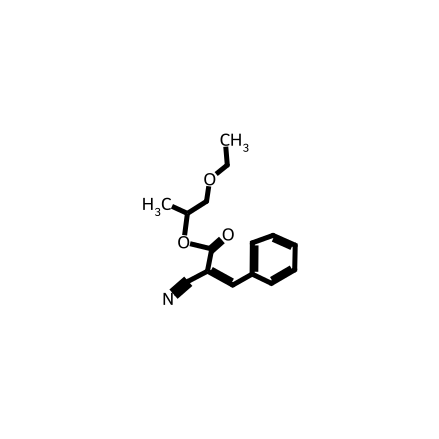 CCOCC(C)OC(=O)C(C#N)=Cc1ccccc1